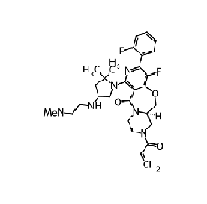 C=CC(=O)N1CCN2C(=O)c3c(N4CC(NCCNC)CC4(C)C)nc(-c4ccccc4F)c(F)c3OC[C@H]2C1